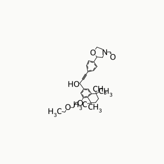 CCOCCOc1cc(C(O)C#Cc2ccc(C3CN(C=O)CCO3)cc2)cc2c1C(C)(C)CCC2(C)C